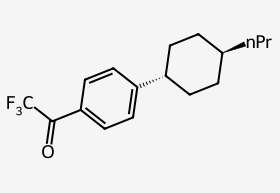 CCC[C@H]1CC[C@H](c2ccc(C(=O)C(F)(F)F)cc2)CC1